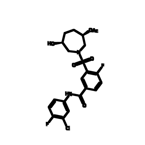 CC(=O)O[C@@H]1CC[C@H](O)CN(S(=O)(=O)c2cc(C(=O)Nc3ccc(F)c(Cl)c3)ccc2F)C1